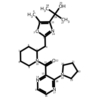 Cc1oc(CC2CCCCN2C(=O)c2nccnc2N2CCCC2)nc1C(C)(C)O